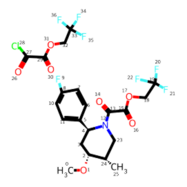 CO[C@@H]1C[C@@H](c2ccc(F)cc2)N(C(=O)C(=O)OCC(F)(F)F)C[C@@H]1C.O=C(Cl)C(=O)OCC(F)(F)F